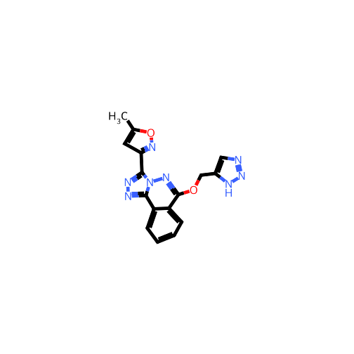 Cc1cc(-c2nnc3c4ccccc4c(OCc4cnn[nH]4)nn23)no1